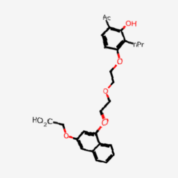 CCCc1c(OCCOCCOc2cc(OCC(=O)O)cc3ccccc23)ccc(C(C)=O)c1O